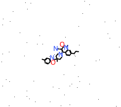 CC[C@H](C)c1ccc2c(N3CCC(C)(c4nc5cc(C)ccc5o4)CC3)c(C#N)c(=O)n(C)c2c1